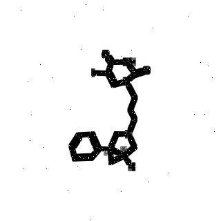 O=c1[nH]c(=O)n(CCCN2C[C@@H]3C[C@]3(c3ccccc3)C2)cc1I